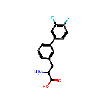 NC(Cc1cccc(-c2ccc(F)c(F)c2)c1)C(=O)O